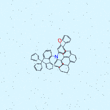 c1ccc(C2(c3ccccc3)c3ccccc3-c3c(N(c4ccc5c(c4)oc4ccccc45)c4ccccc4-c4cccc5cccc(C6CCCCC6)c45)cccc32)cc1